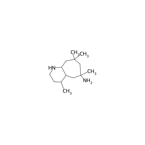 CC1CCNC2CC(C)(C)CC(C)(N)CC12